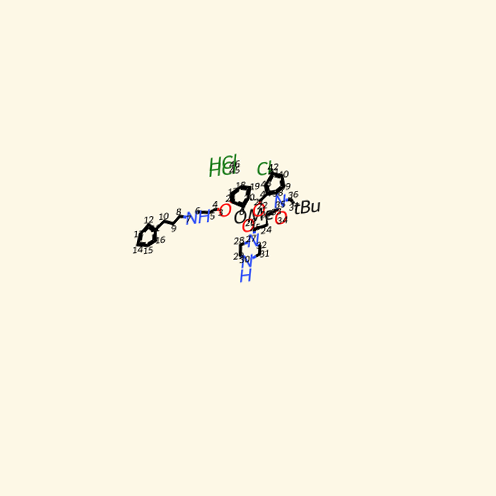 COc1c(OCCCNCCCc2ccccc2)cccc1[C@H]1O[C@H](CC(=O)N2CCNCC2)C(=O)N(CC(C)(C)C)c2ccc(Cl)cc21.Cl.Cl